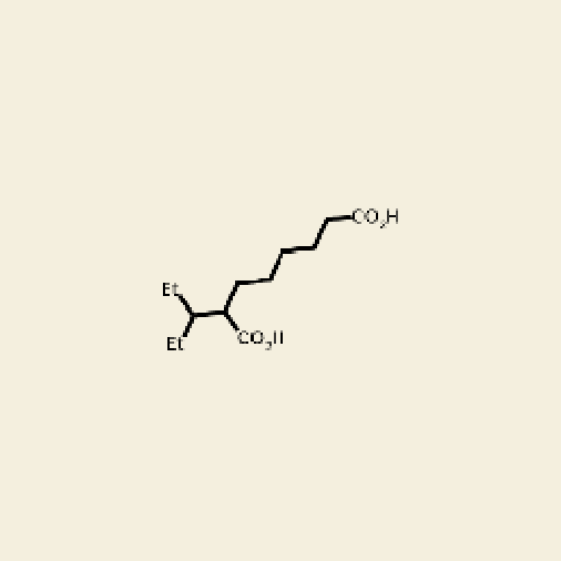 CCC(CC)C(CCCCCC(=O)O)C(=O)O